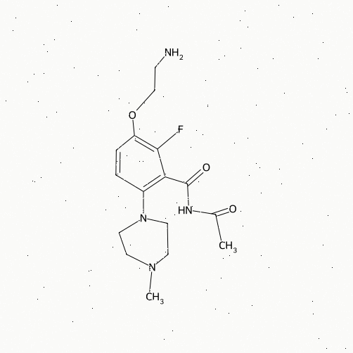 CC(=O)NC(=O)c1c(N2CCN(C)CC2)ccc(OCCN)c1F